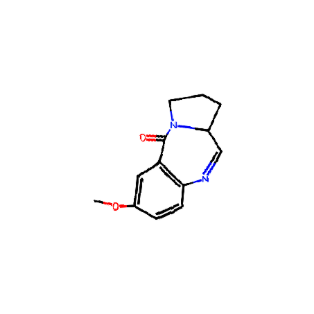 COc1ccc2c(c1)C(=O)N1CCCC1C=N2